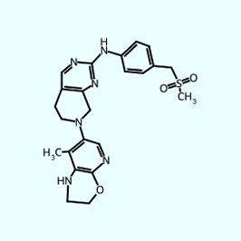 Cc1c(N2CCc3cnc(Nc4ccc(CS(C)(=O)=O)cc4)nc3C2)cnc2c1NCCO2